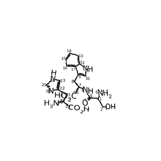 NC(CO)C(=O)NC(Cc1c[nH]c2ccccc12)C(=O)O.NC(Cc1c[nH]cn1)C(=O)O